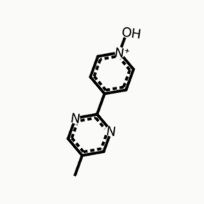 Cc1cnc(-c2cc[n+](O)cc2)nc1